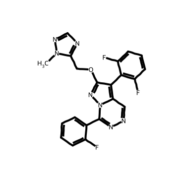 Cn1ncnc1COc1nn2c(-c3ccccc3F)nncc2c1-c1c(F)cccc1F